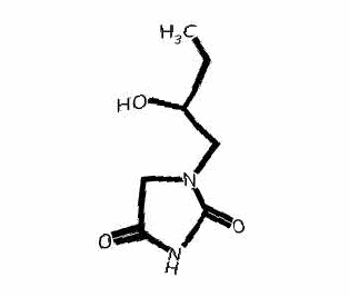 CCC(O)CN1CC(=O)NC1=O